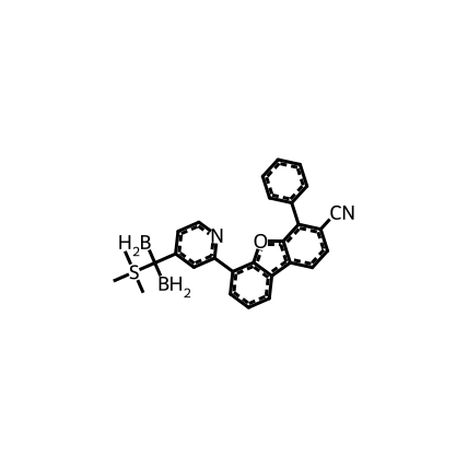 BC(B)(c1ccnc(-c2cccc3c2oc2c(-c4ccccc4)c(C#N)ccc23)c1)S(C)(C)C